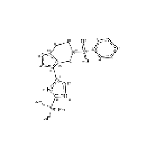 O=S(=O)(c1ccccc1)N1CCc2scc(-c3noc(C(F)(F)F)n3)c2C1